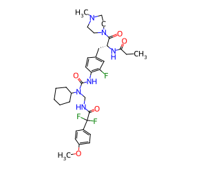 CCC(=O)N[C@H](Cc1ccc(NC(=O)N(CNC(=O)C(F)(F)c2ccc(OC)cc2)C2CCCCC2)c(F)c1)C(=O)N1CCN(C)CC1